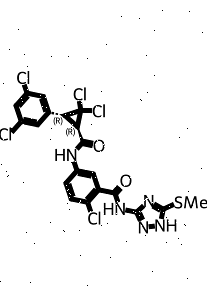 CSc1nc(NC(=O)c2cc(NC(=O)[C@H]3[C@H](c4cc(Cl)cc(Cl)c4)C3(Cl)Cl)ccc2Cl)n[nH]1